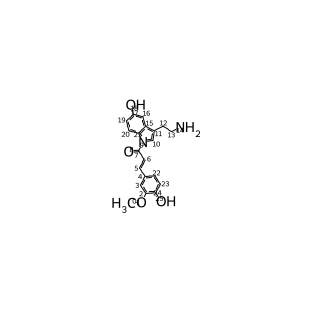 COc1cc(C=CC(=O)n2cc(CCN)c3cc(O)ccc32)ccc1O